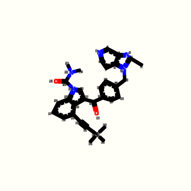 Cc1nc2cnccc2n1Cc1ccc(C(=O)c2cn(C(=O)N(C)C)c3cccc(C#C[Si](C)(C)C)c23)cc1